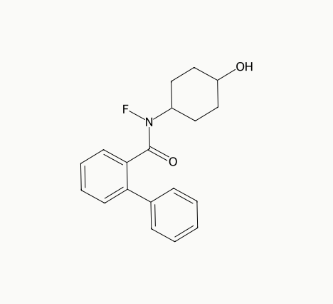 O=C(c1ccccc1-c1ccccc1)N(F)C1CCC(O)CC1